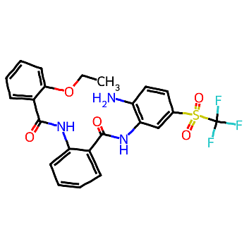 CCOc1ccccc1C(=O)Nc1ccccc1C(=O)Nc1cc(S(=O)(=O)C(F)(F)F)ccc1N